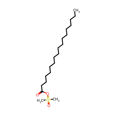 CCCCCCCCCCCCCCCCCC(=O)O[SH](C)(C)=O